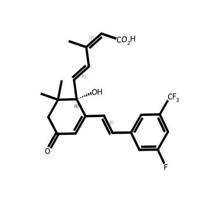 CC(=C/C(=O)O)/C=C/[C@@]1(O)C(/C=C/c2cc(F)cc(C(F)(F)F)c2)=CC(=O)CC1(C)C